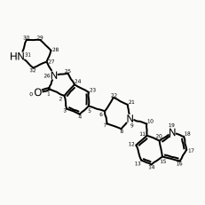 O=C1c2ccc(C3CCN(Cc4cccc5cccnc45)CC3)cc2CN1C1CCCNC1